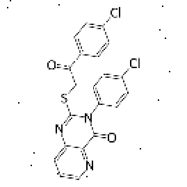 O=C(CSc1nc2cccnc2c(=O)n1-c1ccc(Cl)cc1)c1ccc(Cl)cc1